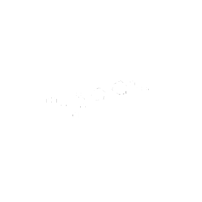 CCCCCCCCOc1ccc(-c2ccc(C(=O)OC(C)COCCC)cc2)cc1